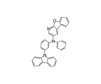 c1ccc(N(c2cccc(-n3c4ccccc4c4ccccc43)c2)c2cnc3oc4ccccc4c3c2)cc1